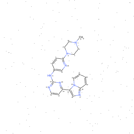 CN1CCN(c2ccc(Nc3nccc(-c4cnc5ccccn45)n3)cn2)CC1